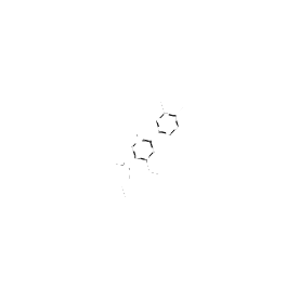 CCCN(C)c1cnc(-c2ccc(C)c(C)c2)cc1CC